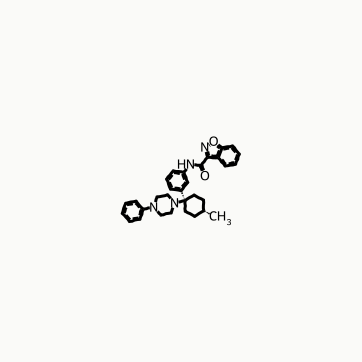 C[C@H]1CC[C@](c2cccc(NC(=O)c3noc4ccccc34)c2)(N2CCN(c3ccccc3)CC2)CC1